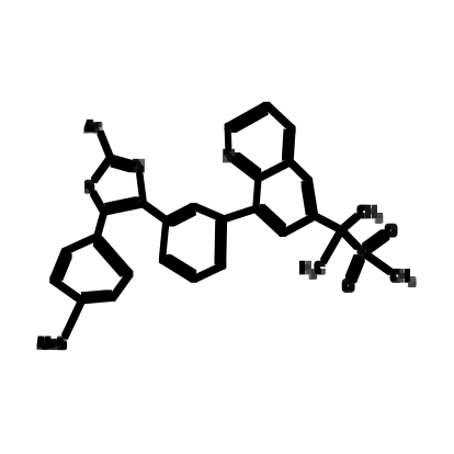 CSc1ccc(-c2sc(C(C)=O)nc2-c2cccc(-c3cc(C(C)(C)S(C)(=O)=O)cc4cccnc34)c2)cc1